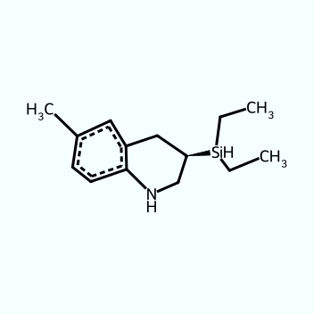 CC[SiH](CC)[C@H]1CNc2ccc(C)cc2C1